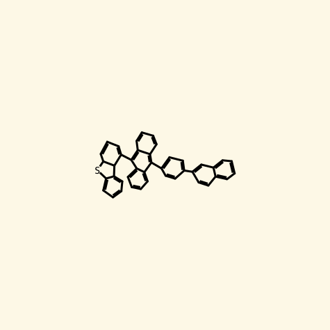 C1=CC2Sc3ccccc3C2C(c2c3ccccc3c(-c3ccc(-c4ccc5ccccc5c4)cc3)c3ccccc23)=C1